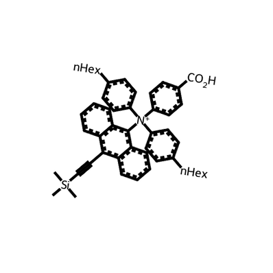 CCCCCCc1ccc([N+](c2ccc(CCCCCC)cc2)(c2ccc(C(=O)O)cc2)c2c3ccccc3c(C#C[Si](C)(C)C)c3ccccc23)cc1